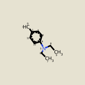 [CH]c1ccc(N(CC)CC)cc1